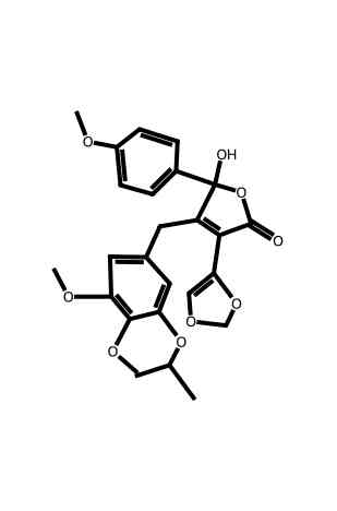 COc1ccc(C2(O)OC(=O)C(C3=COCO3)=C2Cc2cc(OC)c(OC)c(OC(C)C)c2)cc1